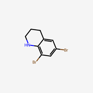 Brc1cc(Br)c2c(c1)CCCN2